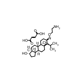 CC(C)C1=C2CC[C@H]3[C@@H]4CC[C@H](O)[C@@]4(C)CC[C@@H]3[C@@]2(C)CC/C1=N\OCCN.O=C(O)/C=C/C(=O)O